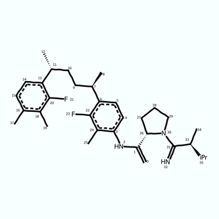 C=C(Nc1ccc([C@H](C)CC[C@@H](C)c2ccc(C)c(C)c2F)c(F)c1C)[C@@H]1CCCN1C(=N)[C@@H](C)C(C)C